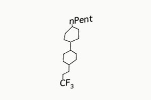 CCCCCC1CCC(C2CCC(CCC(F)(F)F)CC2)CC1